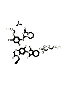 C#CCN1C(=O)COc2cc(F)c(N3C(=O)C4=C(CCCC4)C3=O)cc21.C[S+](C)C.O=C(O)CNCP(=O)([O-])O.O=C(O)CSc1cc(N=c2sc(=O)n3n2CCCC3)c(F)cc1Cl